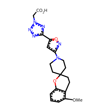 COc1cccc2c1CCC1(CCN(c3cc(-c4nnn(CC(=O)O)n4)on3)CC1)O2